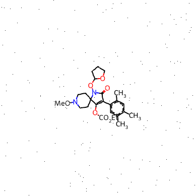 CCOC(=O)OC1=C(c2cc(C)c(C)cc2C)C(=O)N(OC2CCCO2)C12CCN(OC)CC2